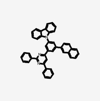 c1ccc(-c2cc(-c3cc(-c4ccc5ccccc5c4)cc(-n4c5ccccc5c5ccccc54)c3)nc(-c3ccccc3)n2)cc1